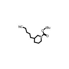 CC(C)(C)OC(=O)N1CCCC(CCCCC#N)C1